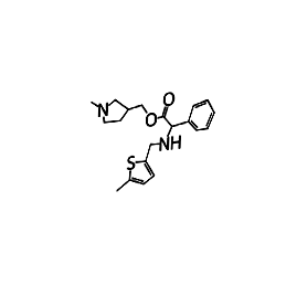 Cc1ccc(CNC(C(=O)OCC2CCN(C)C2)c2ccccc2)s1